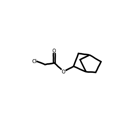 O=C(CCl)OC1CC2CCC1C2